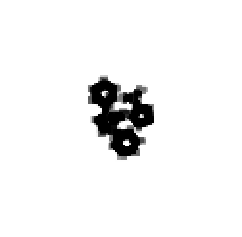 IN(I)C1CCCC1.[Pt]=[c]1n(C2CCCCC2)ccn1C1CCCCC1